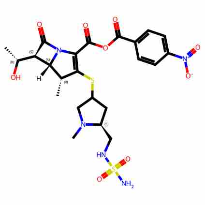 C[C@@H](O)[C@H]1C(=O)N2C(C(=O)OC(=O)c3ccc([N+](=O)[O-])cc3)=C(SC3C[C@@H](CNS(N)(=O)=O)N(C)C3)[C@H](C)[C@H]12